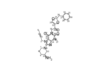 CC#CCn1c(N2CCC[C@H](N)C2)nc2c1c(=O)n(CC(=O)C1=COC(Cc3ccccc3)O1)c(=O)n2C